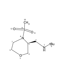 CC(C)(C)NC[C@H]1COCCN1S(C)(=O)=O